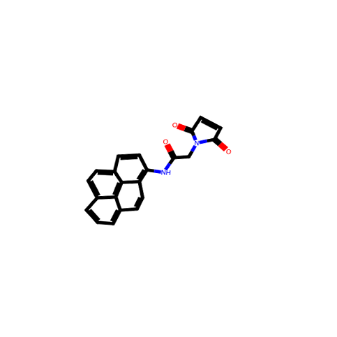 O=C(CN1C(=O)C=CC1=O)Nc1ccc2ccc3cccc4ccc1c2c34